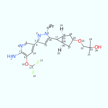 CC(C)n1nc(-c2cnc(N)c(OC(F)F)c2)cc1C1[C@H]2CC(OCC(C)(C)O)C[C@@H]12